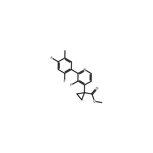 COC(=O)C1(c2ccnc(-c3cc(C)c(F)cc3F)c2F)CC1